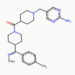 CO/N=C(\c1ccc(C)cc1)C1CCN(C(=O)C2CCN(Cc3cnc(N)nc3)CC2)CC1